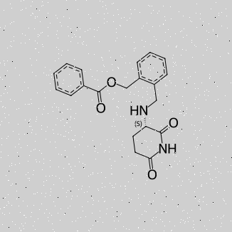 O=C1CC[C@H](NCc2ccccc2COC(=O)c2ccccc2)C(=O)N1